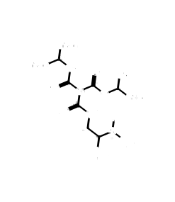 CCCCCCCCCC(CCCCCCCCC)OC(=O)N(C(=O)OC(CCCCCCCCC)CCCCCCCCC)C(=O)SCC(C)N(C)C